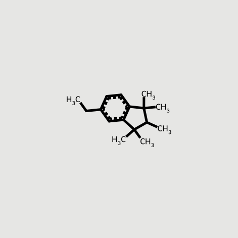 CCc1ccc2c(c1)C(C)(C)C(C)C2(C)C